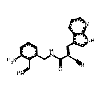 N#C/C(=C\c1c[nH]c2ncccc12)C(=O)NCc1cccc(N)c1C=N